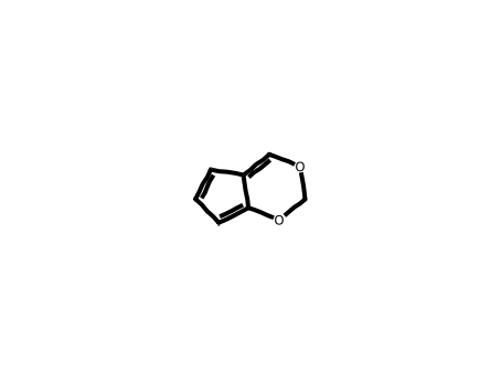 [C]1=C2OCOC=C2C=C1